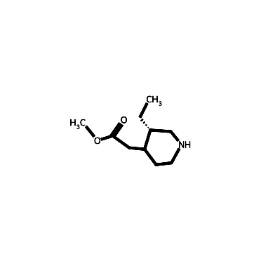 CC[C@@H]1CNCCC1CC(=O)OC